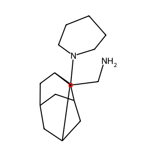 NCC1(N2CCCCC2)C2CC3CC(C2)CC1C3